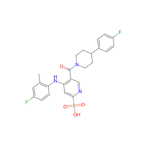 Cc1cc(F)ccc1Nc1cc(S(=O)(=O)O)ncc1C(=O)N1CCC(c2ccc(F)cc2)CC1